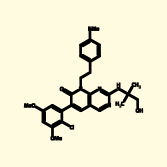 CNc1ccc(CCn2c(=O)c(-c3cc(OC)cc(OC)c3Cl)cc3cnc(NC(C)(C)CO)nc32)cc1